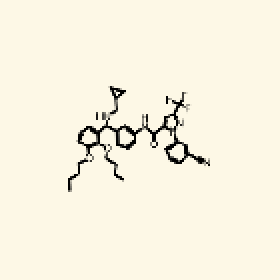 CCCCOc1cccc(C(NCC2CC2)c2cccc(NC(=O)c3cc(C(F)(F)F)nn3-c3cccc(C#N)c3)c2)c1OCCCC